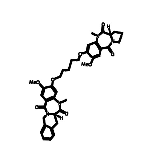 COc1cc2c(cc1OCCCCCOc1cc3c(cc1OC)C(=O)N1Cc4ccccc4C[C@H]1C(=O)N3C)N(C)C(=O)[C@@H]1CCCN1C2=O